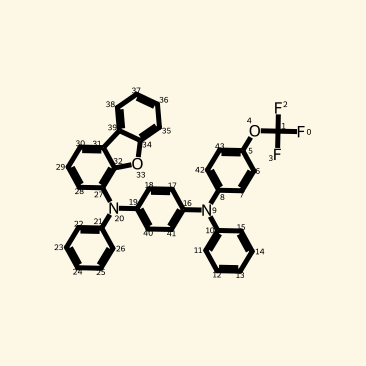 FC(F)(F)Oc1ccc(N(c2ccccc2)c2ccc(N(c3ccccc3)c3cccc4c3oc3ccccc34)cc2)cc1